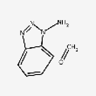 C=O.Nn1nnc2ccccc21